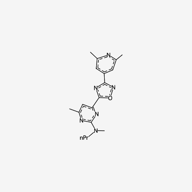 CCCN(C)c1nc(C)cc(-c2nc(-c3cc(C)nc(C)c3)no2)n1